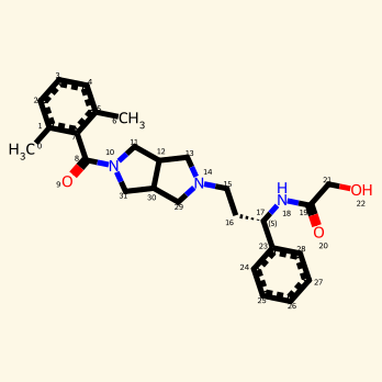 Cc1cccc(C)c1C(=O)N1CC2CN(CC[C@H](NC(=O)CO)c3ccccc3)CC2C1